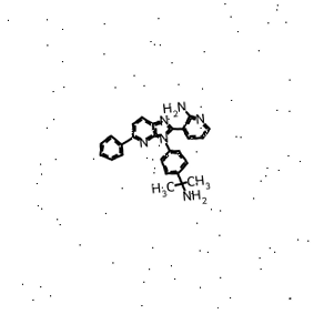 CC(C)(N)c1ccc(-n2c(-c3cccnc3N)nc3ccc(-c4ccccc4)nc32)cc1